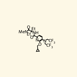 CCC(CC)(NC(=O)c1ccc(N(CC(F)(F)F)CC(F)(F)F)c(OCC2CC2)n1)C(=O)NC